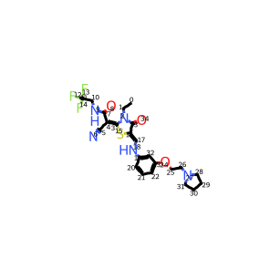 CCn1c(=C(C#N)C(=O)NCC(F)(F)F)sc(=CNc2cccc(OCCN3CCCC3)c2)c1=O